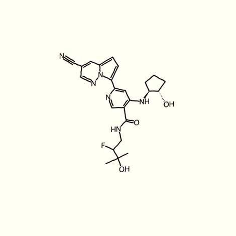 CC(C)(O)C(F)CNC(=O)c1cnc(-c2ccc3cc(C#N)cnn23)cc1N[C@H]1CCC[C@@H]1O